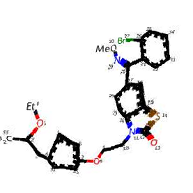 CCOC(Cc1ccc(OCCn2c(=O)sc3cc(C(=NOC)c4ccccc4Br)ccc32)cc1)C(=O)O